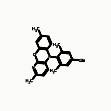 Cc1ccc2c(c1)Oc1nc(C)ccc1N2c1c(C)cc(C(C)(C)C)cc1C